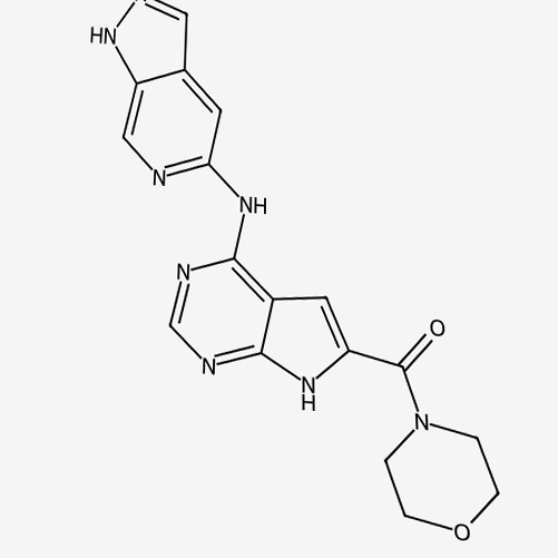 O=C(c1cc2c(Nc3cc4cn[nH]c4cn3)ncnc2[nH]1)N1CCOCC1